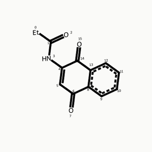 CCC(=O)NC1=CC(=O)c2ccccc2C1=O